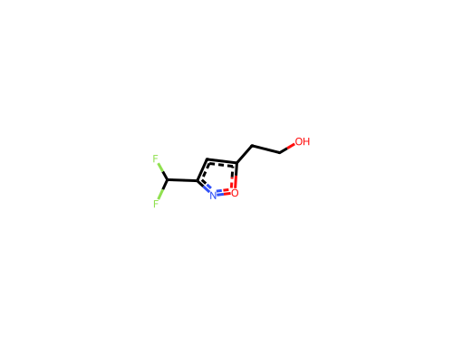 OCCc1cc(C(F)F)no1